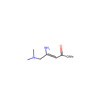 COC(=O)/C=C(\N)CN(C)C